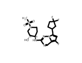 CS(=O)(=O)N1CC[C@@H](Nc2ncc3c(F)cc(C4CCC(F)(F)C4)n3n2)[C@H](O)C1